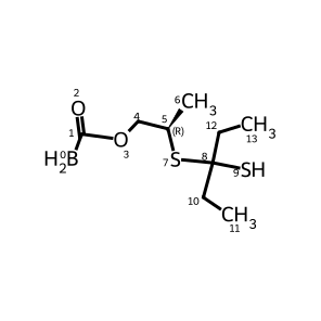 BC(=O)OC[C@@H](C)SC(S)(CC)CC